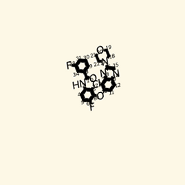 O=C(Nc1ccc(F)c(Oc2ccc3ncc(N4CCOCC4)nc3c2)c1Cl)c1cccc(F)c1